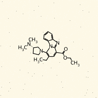 CCOC(=O)c1cc(CC)c(N2CC[C@H](N(C)C)C2)n2c1nc1ccccc12